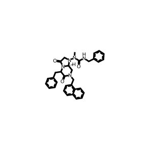 CN(C(=O)NCc1ccccc1)N1CC(=O)N2C(Cc3ccccc3)C(=O)N(Cc3cccc4ccccc34)C[C@@H]21